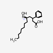 CCCCCCCC/C(CC(CC(=O)O)c1ccccc1)=N/O